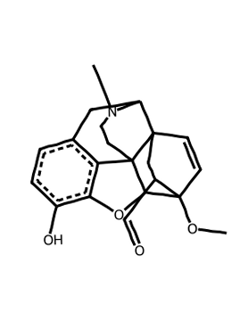 COC12C=CC3(CC1C=O)C1Cc4ccc(O)c5c4C3(CCN1C)C2O5